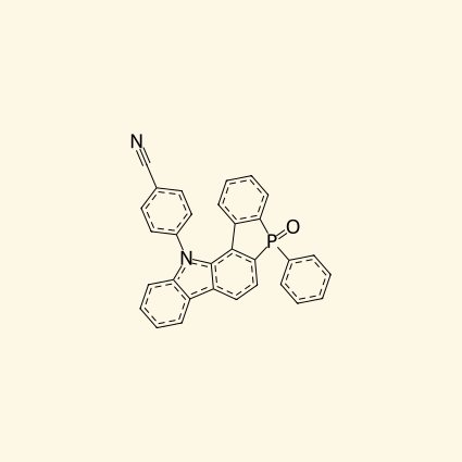 N#Cc1ccc(-n2c3ccccc3c3ccc4c(c32)-c2ccccc2P4(=O)c2ccccc2)cc1